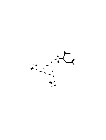 CS(=O)(=O)OB1OB(OS(C)(=O)=O)OB(OS(=O)(=O)C(CC(=O)O)C(=O)O)O1